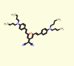 CCCCN(CCCC)c1ccc(C=CC2=CC(=C(C#N)C#N)C=C(C=Cc3ccc(N(CCCC)CCCC)cc3)O2)cc1